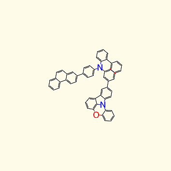 c1ccc(-c2ccccc2N(c2ccc(-c3ccc4c(ccc5ccccc54)c3)cc2)c2cccc(-c3ccc4c(c3)c3cccc5c3n4-c3ccccc3O5)c2)cc1